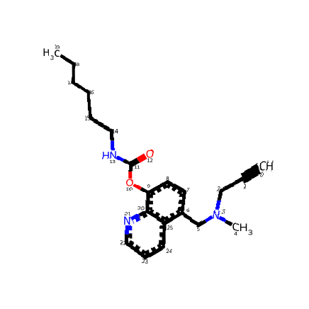 C#CCN(C)Cc1ccc(OC(=O)NCCCCCC)c2ncccc12